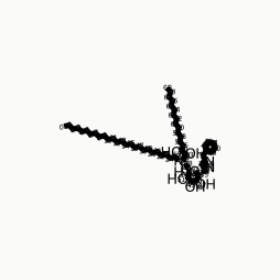 CCCCCCCCCCCCCCCCCCCCCCCCCCN[C@@H](CO[C@H]1O[C@H](Cn2cc(Cc3ccccc3)nn2)[C@H](O)[C@H](O)[C@H]1O)[C@H](O)[C@H](O)CCCCCCCCCCCCCC